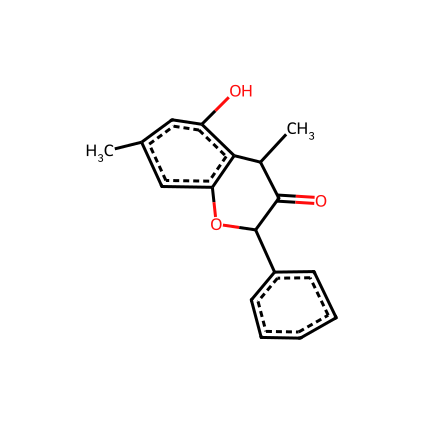 Cc1cc(O)c2c(c1)OC(c1ccccc1)C(=O)C2C